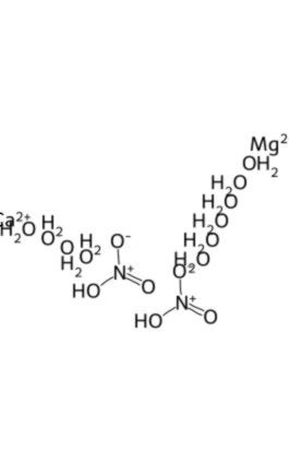 O.O.O.O.O.O.O.O.O.O.O=[N+]([O-])O.O=[N+]([O-])O.[Ca+2].[Mg+2]